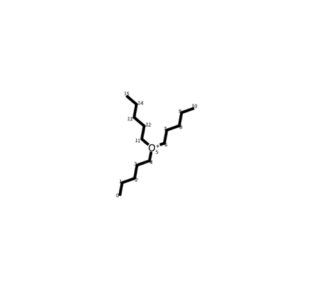 CCCCC[O+](CCCCC)CCCCC